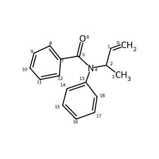 C=CC(C)N(C(=O)c1ccccc1)c1ccccc1